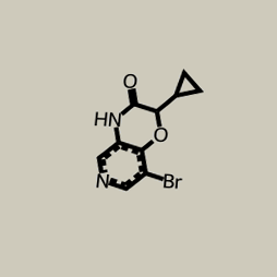 O=C1Nc2cncc(Br)c2OC1C1CC1